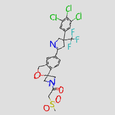 CS(=O)(=O)CC(=O)N1CC2(C1)OCc1cc(C3=NCC(c4cc(Cl)c(Cl)c(Cl)c4)(C(F)(F)F)C3)ccc12